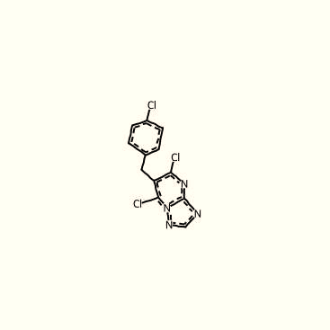 Clc1ccc(Cc2c(Cl)nc3ncnn3c2Cl)cc1